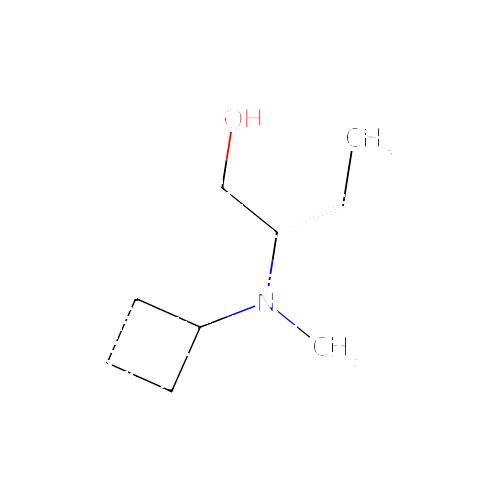 CC[C@@H](CO)N(C)C1CCC1